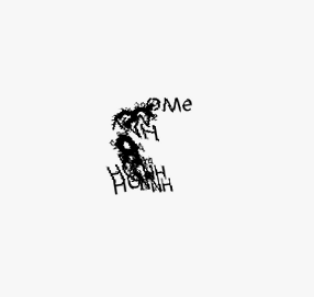 COc1cnc2c(Nc3ccc(F)c([C@]4(C)CS(O)(O)N(C)C(=N)N4)c3)nccc2c1